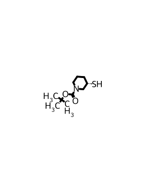 CC(C)(C)OC(=O)N1CCC[C@H](S)C1